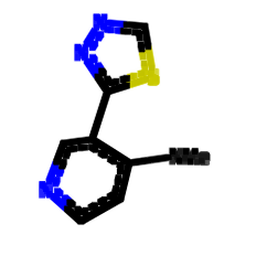 CNc1ccncc1-c1nncs1